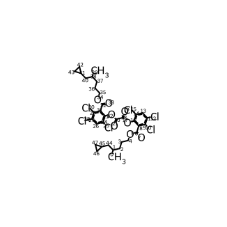 CC(CCCOC(=O)c1c(Cl)c(Cl)cc(Cl)c1OC(=O)C(=O)Oc1c(Cl)cc(Cl)c(Cl)c1C(=O)OCCCC(C)CC1CC1)CC1CC1